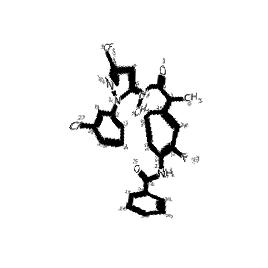 CC(C(=O)N(C)c1cc(C(F)(F)F)nn1-c1cccc(Cl)c1)c1ccc(NC(=O)c2ccccc2)c(F)c1